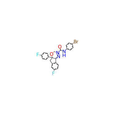 O=C(Nc1ccc(Br)cc1)N1COC2(c3ccc(F)cc3)Cc3cc(F)ccc3C2=N1